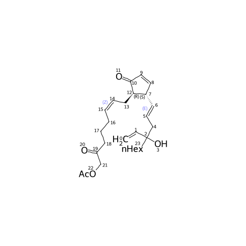 C=CC(O)(C/C=C/[C@H]1C=CC(=O)[C@@H]1C/C=C\CCCC(=O)COC(C)=O)CCCCCC